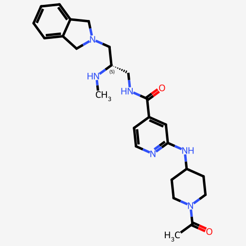 CN[C@@H](CNC(=O)c1ccnc(NC2CCN(C(C)=O)CC2)c1)CN1Cc2ccccc2C1